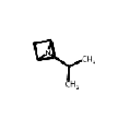 CC(C)N1C2CC1C2